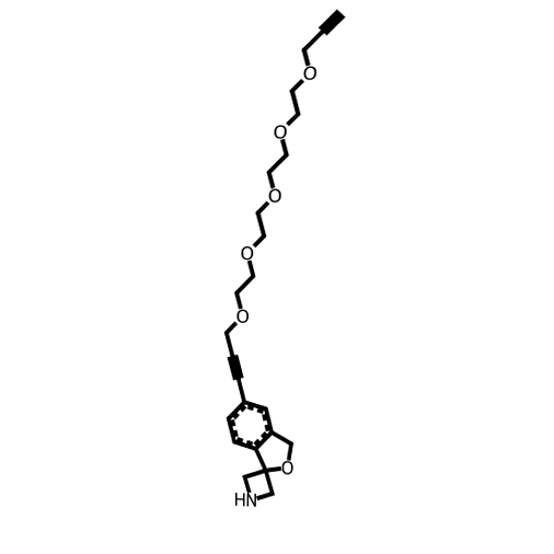 C#CCOCCOCCOCCOCCOCC#Cc1ccc2c(c1)COC21CNC1